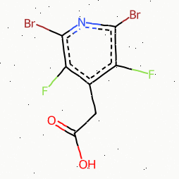 O=C(O)Cc1c(F)c(Br)nc(Br)c1F